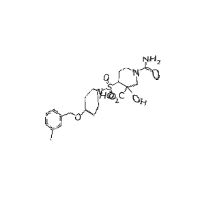 Cc1cccc(COC2CCN(S(=O)(=O)C3CCN(C(N)=O)CC3(O)C(=O)O)CC2)c1